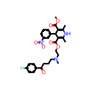 COC(=O)C1=C(C)NC(C)=C(C(=O)OCCN(C)CCCC(=O)c2ccc(F)cc2)C1c1cccc([N+](=O)[O-])c1